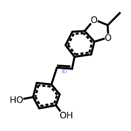 CC1Oc2ccc(/C=C/c3cc(O)cc(O)c3)cc2O1